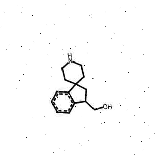 OCC1CC2(CCNCC2)c2ccccc21